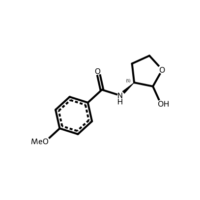 COc1ccc(C(=O)N[C@H]2CCOC2O)cc1